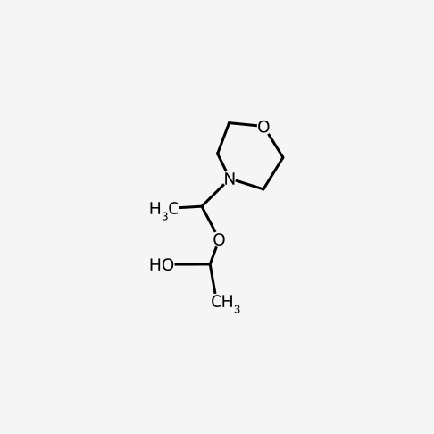 CC(O)OC(C)N1CCOCC1